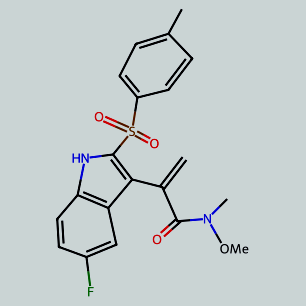 C=C(C(=O)N(C)OC)c1c(S(=O)(=O)c2ccc(C)cc2)[nH]c2ccc(F)cc12